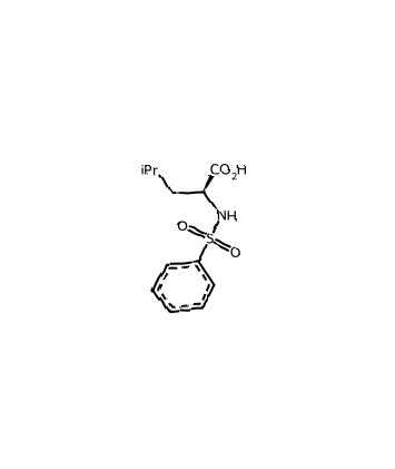 CC(C)C[C@H](NS(=O)(=O)c1ccccc1)C(=O)O